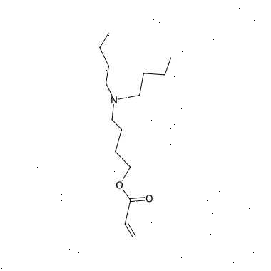 C=CC(=O)OCCCCN(CCCC)CCCC